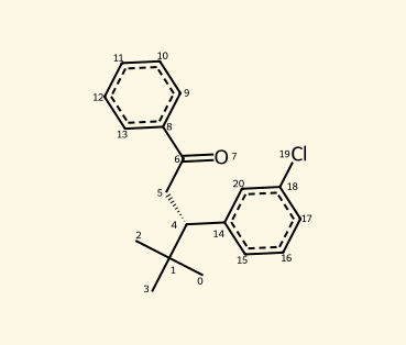 CC(C)(C)[C@H](CC(=O)c1ccccc1)c1cccc(Cl)c1